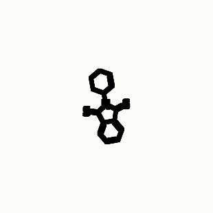 S=C1c2ccccc2C(=S)N1C1C=CCCC1